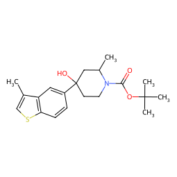 Cc1csc2ccc(C3(O)CCN(C(=O)OC(C)(C)C)C(C)C3)cc12